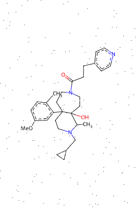 COc1ccc(C)c(C23CCN(C(=O)CCc4ccncc4)CCC2(O)C(C)N(CC2CC2)CC3)c1